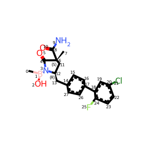 CB(O)N1C(=O)[C@](C)(C(N)=O)C[C@H]1Cc1ccc(-c2cc(Cl)ccc2F)cc1